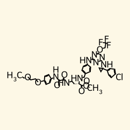 CCOCCOc1ccc(NC(=O)C(=O)NCC[C@H](NC(=O)c2ccc(Nc3nc(NC4(c5ccc(Cl)cc5)CC4)nc(OCC(F)(F)F)n3)cc2)C(=O)OC)cc1